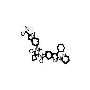 CNC(=O)c1cc2cc(NC(=O)C3(NC(=O)c4ccc5c(C6CCCCC6)n(-c6ccccn6)nc5c4)CCC3)ccc2n1C